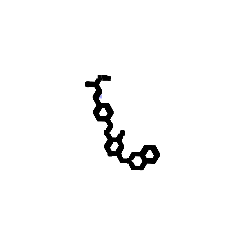 CNC(=O)/C=C/c1ccc(COc2coc(CN3CCc4ccccc4C3)cc2=O)cc1